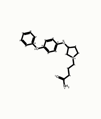 NC(=O)CCCN1CCC(Oc2ccc(Oc3ccccc3)cc2)C1